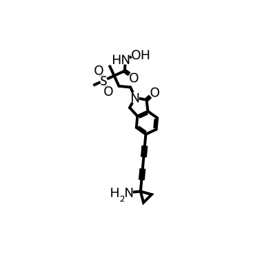 CC(CCN1Cc2cc(C#CC#CC3(N)CC3)ccc2C1=O)(C(=O)NO)S(C)(=O)=O